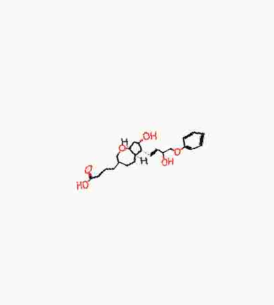 O=C(O)CCCC1CC[C@@H]2[C@@H](C=CC(O)COc3ccccc3)[C@H](O)C[C@@H]2OC1